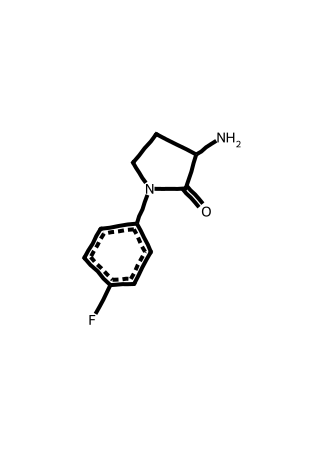 NC1CCN(c2ccc(F)cc2)C1=O